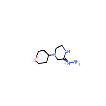 N/N=C1/CN(C2CCOCC2)CCN1